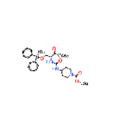 COC(=O)[C@H](CO[Si](c1ccccc1)(c1ccccc1)C(C)(C)C)NC(=O)NC1CCN(C(=O)OC(C)(C)C)CC1